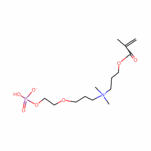 C=C(C)C(=O)OCCC[N+](C)(C)CCCOCCOP(=O)([O-])O